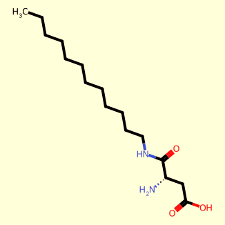 CCCCCCCCCCCCNC(=O)[C@@H](N)CC(=O)O